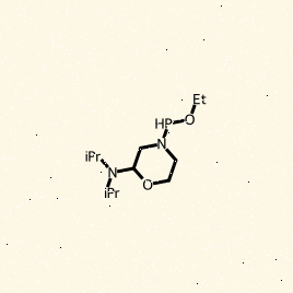 CCOPN1CCOC(N(C(C)C)C(C)C)C1